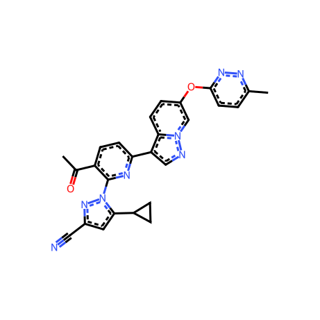 CC(=O)c1ccc(-c2cnn3cc(Oc4ccc(C)nn4)ccc23)nc1-n1nc(C#N)cc1C1CC1